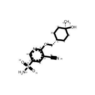 C[C@]1(O)CC[C@H](COc2ncc(S(N)(=O)=O)cc2C#N)CC1